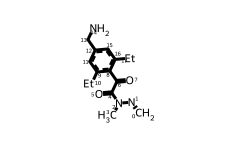 C=NN(C)C(=O)C(=O)c1c(CC)cc(CN)cc1CC